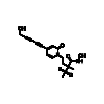 CC(CCn1ccc(C#CC#CCO)cc1=O)(C(=O)NO)S(C)(=O)=O